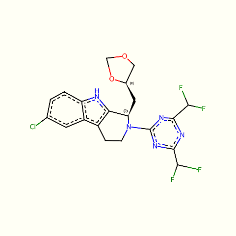 FC(F)c1nc(C(F)F)nc(N2CCc3c([nH]c4ccc(Cl)cc34)[C@H]2C[C@@H]2COCO2)n1